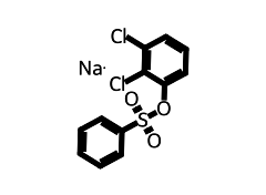 O=S(=O)(Oc1cccc(Cl)c1Cl)c1ccccc1.[Na]